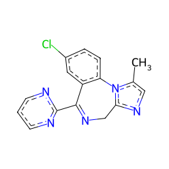 Cc1cnc2n1-c1ccc(Cl)cc1C(c1ncccn1)=NC2